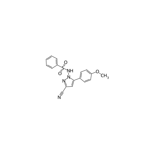 COc1ccc(-c2cc(C#N)nn2NS(=O)(=O)c2ccccc2)cc1